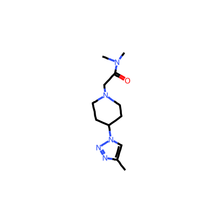 Cc1cn(C2CCN(CC(=O)N(C)C)CC2)nn1